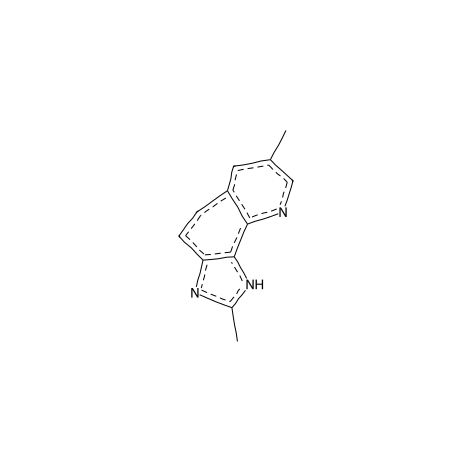 Cc1cnc2c(ccc3nc(C)[nH]c32)c1